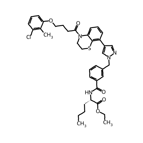 CCCC[C@H](NC(=O)c1cccc(Cn2cc(-c3cccc4c3SCCN4C(=O)CCCOc3cccc(Cl)c3C)cn2)c1)C(=O)OCC